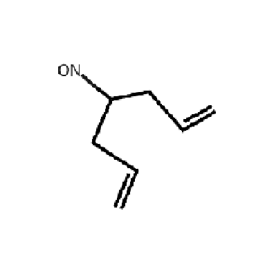 C=CCC(CC=C)N=O